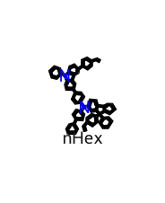 C=Cc1ccc(-c2ccc3c(c2)c2cc(-c4ccc(N(c5ccc(-c6ccc(CCCCCC)cc6)cc5)c5ccc6c(c5)C(c5ccccc5)(c5ccc(C=C)cc5)c5ccccc5-6)cc4)ccc2n3-c2ccccc2)cc1